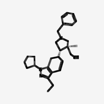 CCc1nn(C2CCCC2)c2c1C=CC([C@@H]1CN(Cc3ccccc3)C[C@@]1(C)CO)C2